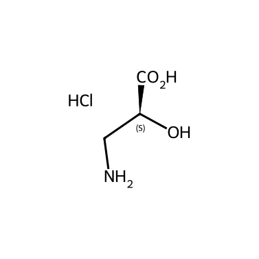 Cl.NC[C@H](O)C(=O)O